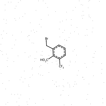 O=C(O)c1c(CBr)cccc1C(F)(F)F